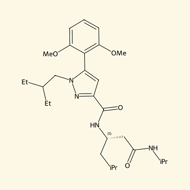 CCC(CC)Cn1nc(C(=O)N[C@H](CC(=O)NC(C)C)CC(C)C)cc1-c1c(OC)cccc1OC